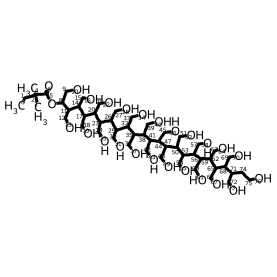 CCC(C)(C)C(=O)OC(CO)C(CO)C(CO)C(CO)C(CO)C(CO)C(CO)C(CO)C(CO)C(CO)C(CO)C(CO)C(CO)C(CO)C(CO)C(CO)C(CO)C(CO)C(CO)C(CO)C(CO)C(CO)CCO